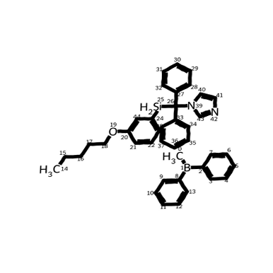 CB(c1ccccc1)c1ccccc1.CCCCCOc1cccc([SiH2]C(c2ccccc2)(c2ccccc2)n2ccnc2)c1